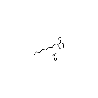 CCCCCCCCN1CCCC1=O.C[S+](C)[O-]